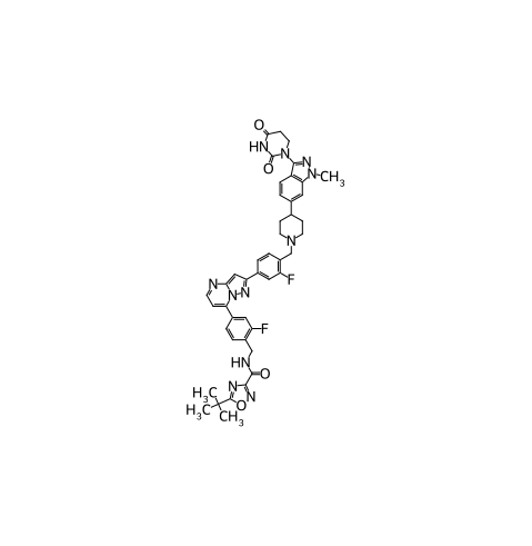 Cn1nc(N2CCC(=O)NC2=O)c2ccc(C3CCN(Cc4ccc(-c5cc6nccc(-c7ccc(CNC(=O)c8noc(C(C)(C)C)n8)c(F)c7)n6n5)cc4F)CC3)cc21